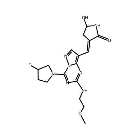 COCCNc1nc(N2CCC(F)C2)n2ncc(/C=C3\CC(O)NC3=O)c2n1